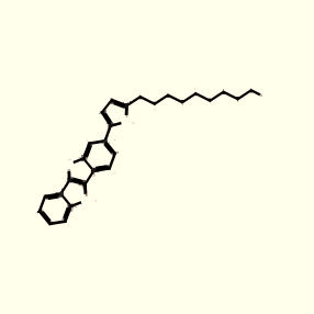 CCCCCCCCCCc1ccc(-c2ccc3c(c2)sc2c4ccccc4sc32)s1